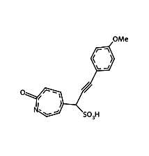 COc1ccc(C#CC(c2ccnc(=O)cc2)S(=O)(=O)O)cc1